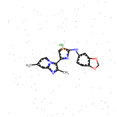 Br.Cc1ccn2c(-c3csc(Nc4ccc5c(c4)OCO5)n3)c(C)nc2c1